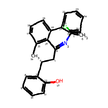 C=C(Cl)/N=C(/CCc1ccccc1O)c1c(C)cccc1-c1ccccc1